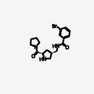 O=C(NC[C@@H]1CN[C@H](C(=O)N2CCCC2)C1)c1cccc(Br)c1